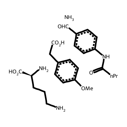 CCCC(=O)Nc1ccc(C=O)cc1.COc1ccc(CC(=O)O)cc1.N.NCCC[C@H](N)C(=O)O